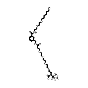 CC(C)(C)N(CCOCCOCCOCCOCCC(=O)NCc1cccc(C(=O)NCCOCCOCCCCCCCl)c1)C(=O)O